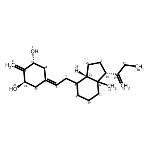 C=C1[C@H](O)CC(=CCC2CCCC3(C)[C@@H](C(=C)CC)CC[C@@H]23)C[C@H]1O